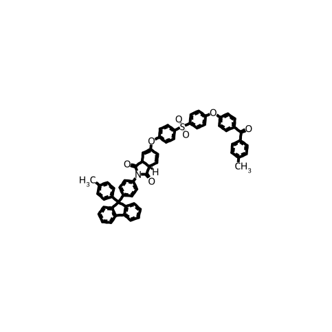 Cc1ccc(C(=O)c2ccc(Oc3ccc(S(=O)(=O)c4ccc(OC5=CC6C(=O)N(c7ccc(C8(c9ccc(C)cc9)c9ccccc9-c9ccccc98)cc7)C(=O)[C@H]6C=C5)cc4)cc3)cc2)cc1